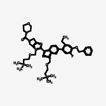 CCc1cc(OCc2ccccc2)c(F)cc1-c1ccc2c(-c3nc4c(n3COCC[Si](C)(C)C)CN(C(=O)N3CCOCC3)C4)nn(COCC[Si](C)(C)C)c2c1